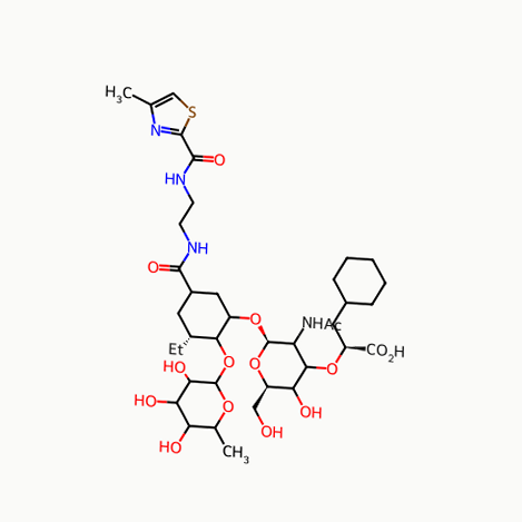 CC[C@@H]1CC(C(=O)NCCNC(=O)c2nc(C)cs2)CC(O[C@@H]2O[C@H](CO)C(O)C(O[C@@H](CC3CCCCC3)C(=O)O)C2NC(C)=O)C1OC1OC(C)C(O)C(O)C1O